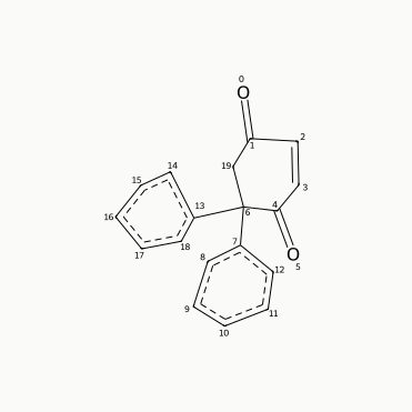 O=C1C=CC(=O)C(c2ccccc2)(c2ccccc2)C1